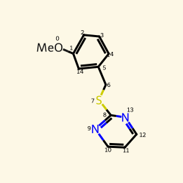 COc1cc[c]c(CSc2ncccn2)c1